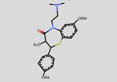 COc1ccc(C2Sc3ccc(OC)cc3N(CCN(C)C)C(=O)C2OC(C)=O)cc1